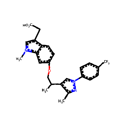 Cc1nn(-c2ccc(C(F)(F)F)cc2)cc1C(C)COc1ccc2c(CC(=O)O)cn(C)c2c1